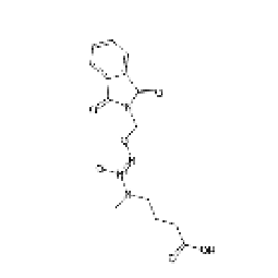 CN(CCCC(=O)O)[N+]([O-])=NOCN1C(=O)c2ccccc2C1=O